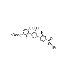 CCCCCCCCCCOc1ccc(C(=O)O)c(-c2ccc(-c3ccc(C(=O)OC[C@@H](C)CC)cc3F)cc2)c1F